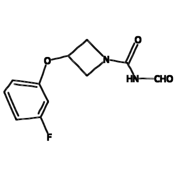 O=CNC(=O)N1CC(Oc2cccc(F)c2)C1